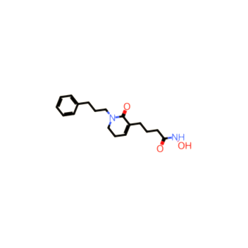 O=C(CCCC1=CCCN(CCCc2ccccc2)C1=O)NO